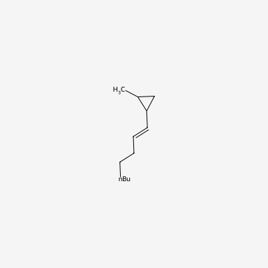 CCCCCCC=CC1CC1C